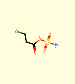 NS(=O)(=O)OC(=O)CCCl